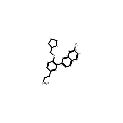 O=C(O)CCc1ccc(OCC2CCCC2)c(-c2ccc3ccc(O)cc3c2)c1